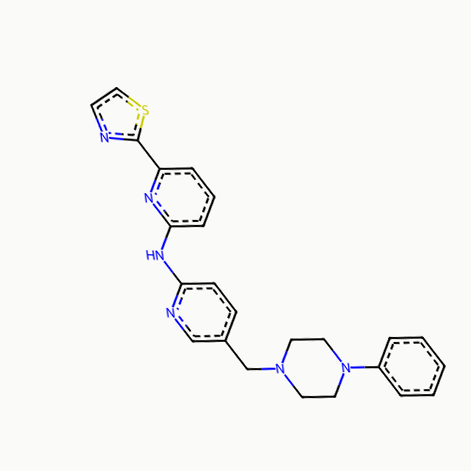 c1ccc(N2CCN(Cc3ccc(Nc4cccc(-c5nccs5)n4)nc3)CC2)cc1